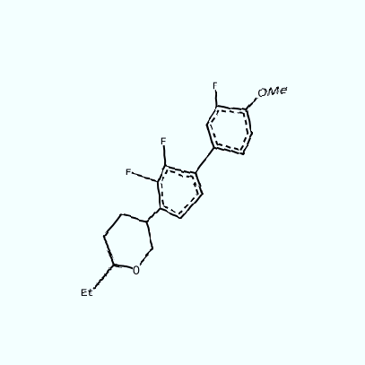 CCC1CCC(c2ccc(-c3ccc(OC)c(F)c3)c(F)c2F)CO1